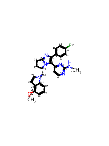 CNc1nccc(-c2c(-c3ccc(F)cc3)nc3n2[C@H](Cn2ccc4c(OC)cccc42)CC3)n1